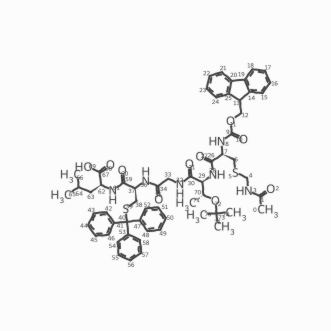 CC(=O)NCSC[C@H](NC(=O)OCC1c2ccccc2-c2ccccc21)C(=O)N[C@H](C(=O)NCC(=O)N[C@@H](CSC(c1ccccc1)(c1ccccc1)c1ccccc1)C(=O)N[C@@H](CC(C)C)C(=O)O)[C@@H](C)OC(C)(C)C